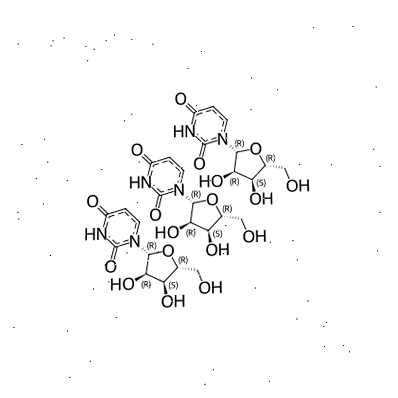 O=c1ccn([C@@H]2O[C@H](CO)[C@@H](O)[C@H]2O)c(=O)[nH]1.O=c1ccn([C@@H]2O[C@H](CO)[C@@H](O)[C@H]2O)c(=O)[nH]1.O=c1ccn([C@@H]2O[C@H](CO)[C@@H](O)[C@H]2O)c(=O)[nH]1